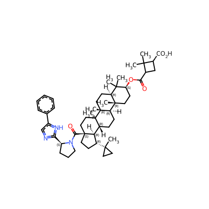 CC1(C)C(C(=O)O)CC1C(=O)O[C@H]1CC[C@]2(C)[C@H]3CC[C@@H]4[C@H]5[C@H](C6(C)CC6)CC[C@]5(C(=O)N5CCC[C@H]5c5ncc(-c6ccccc6)[nH]5)CC[C@@]4(C)[C@]3(C)CC[C@H]2C1(C)C